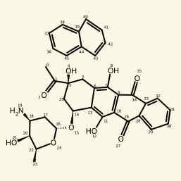 CC(=O)[C@]1(O)Cc2c(O)c3c(c(O)c2[C@@H](O[C@H]2C[C@H](N)[C@H](O)[C@H](C)O2)C1)C(=O)c1ccccc1C3=O.c1ccc2ccccc2c1